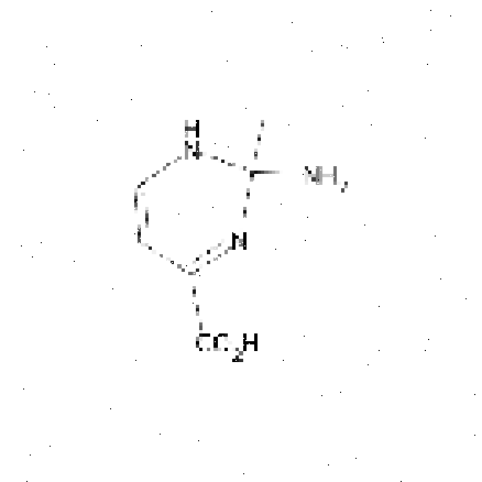 CC1(N)N=C(C(=O)O)C=CN1